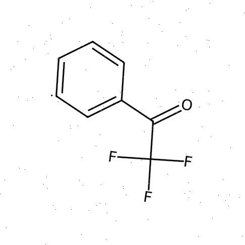 O=C(c1c[c]ccc1)C(F)(F)F